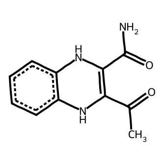 CC(=O)C1=C(C(N)=O)Nc2ccccc2N1